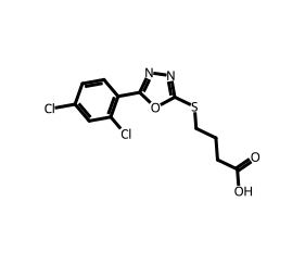 O=C(O)CCCSc1nnc(-c2ccc(Cl)cc2Cl)o1